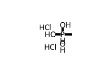 C[PH](O)(O)O.Cl.Cl